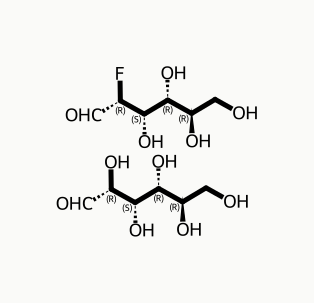 O=C[C@H](F)[C@@H](O)[C@H](O)[C@H](O)CO.O=C[C@H](O)[C@@H](O)[C@H](O)[C@H](O)CO